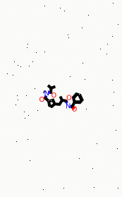 CC(C)C(=O)N(C)C(=O)C1CCC(CC(C)C(=O)N(C)C(=O)c2ccccc2)C1